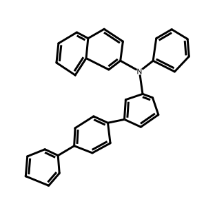 c1ccc(-c2ccc(-c3cccc(N(c4ccccc4)c4ccc5ccccc5c4)c3)cc2)cc1